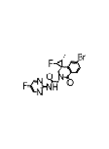 C[C@H]1[C@H](F)[C@]12CN(CC(=O)Nc1ncc(F)cn1)C(=O)c1ccc(Br)cc12